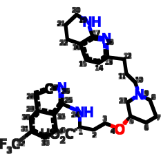 O=C(O)[C@@H](CCO[C@@H]1CCCN(CCCc2ccc3c(n2)NCCC3)C1)Nc1nccc2cc(C(F)(F)F)ccc12